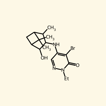 CCn1ncc(NC2C(C)C3CC(C2O)C3(C)C)c(Br)c1=O